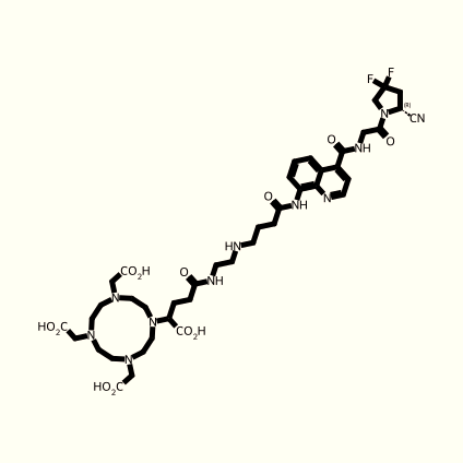 N#C[C@H]1CC(F)(F)CN1C(=O)CNC(=O)c1ccnc2c(NC(=O)CCCNCCNC(=O)CCC(C(=O)O)N3CCN(CC(=O)O)CCN(CC(=O)O)CCN(CC(=O)O)CC3)cccc12